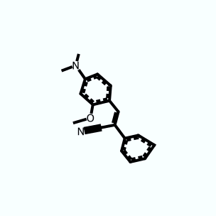 COc1cc(N(C)C)ccc1C=C(C#N)c1ccccc1